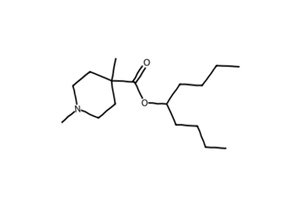 CCCCC(CCCC)OC(=O)C1(C)CCN(C)CC1